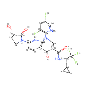 O=C(NC(C1CC1)C(F)(F)F)c1cn(-c2ncc(F)cc2F)c2nc(N3CC[C@H](O)C3=O)ccc2c1=O